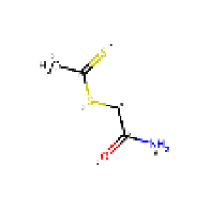 CC(=S)SCC(N)=O